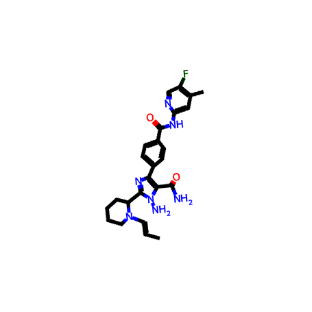 CC=CN1CCCCC1c1nc(-c2ccc(C(=O)Nc3cc(C)c(F)cn3)cc2)c(C(N)=O)n1N